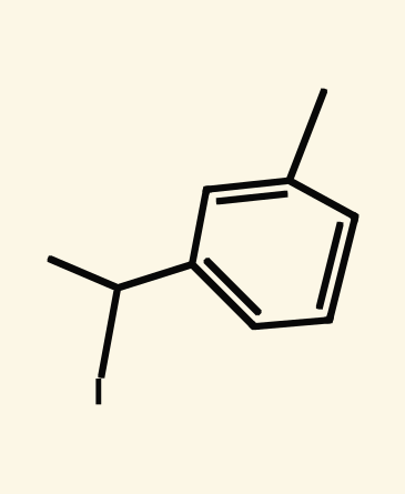 Cc1cccc(C(C)I)c1